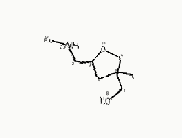 CCNCC1CC(C)(CO)CO1